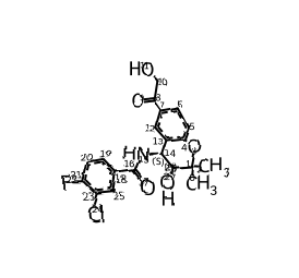 CC1(C)Oc2ccc(C(=O)CO)cc2[C@H](NC(=O)c2ccc(F)c(Cl)c2)[C@@H]1O